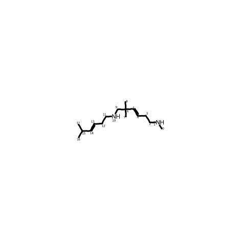 CNCC/C=C/C(C)(C)CNCC/C=C/C(C)C